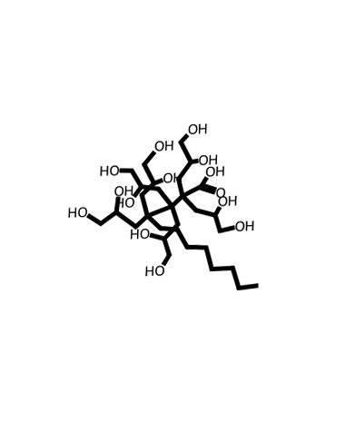 CCCCCCCCC(CC(O)CO)(CC(O)CO)C(CC(O)CO)(CC(O)CO)C(CC(O)CO)(CC(O)CO)C(=O)O